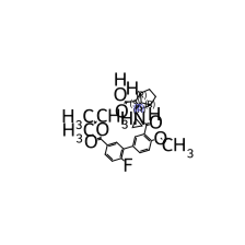 COc1ccc(-c2cc(C(=O)OC(C)(C)C)ccc2F)cc1C(=O)N[C@H]1[C@@H](C(=O)O)[C@H]2CC[C@@H]1/C2=C\C1CC1